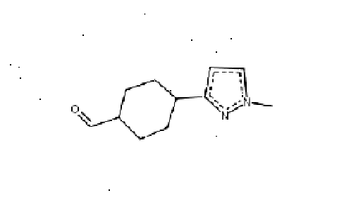 Cn1ccc(C2CCC(C=O)CC2)n1